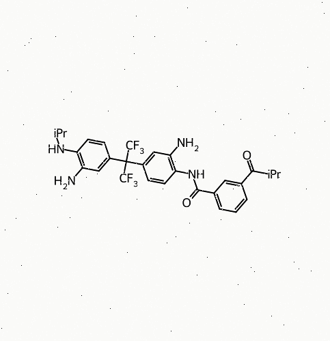 CC(C)Nc1ccc(C(c2ccc(NC(=O)c3cccc(C(=O)C(C)C)c3)c(N)c2)(C(F)(F)F)C(F)(F)F)cc1N